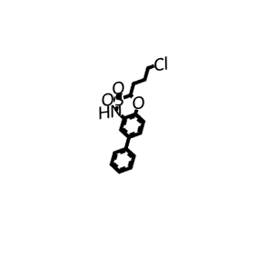 O=S1(=O)Nc2cc(-c3ccccc3)ccc2OC1CCCCl